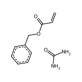 C=CC(=O)OCc1ccccc1.NC(N)=O